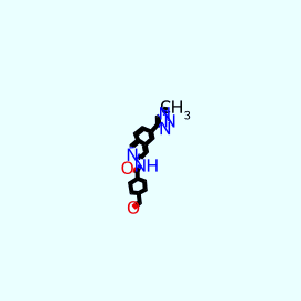 Cn1cc(-c2ccc3cnc(NC(=O)C4CCC(C=O)CC4)cc3c2)nn1